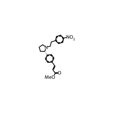 COC(=O)C=Cc1ccc([C@@H]2CCCN2CCc2ccc([N+](=O)[O-])cc2)cc1